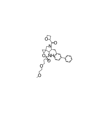 COCCOCCS(=O)(=O)N[C@@H]1[C@H](Cc2cccc(-c3ccccc3)c2)N(C(=O)C2CCO2)CC12CC2